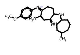 COc1ccc(/N=C2/CCC(NC3CCCC(C)CC3)C(=N)CC2N)cc1